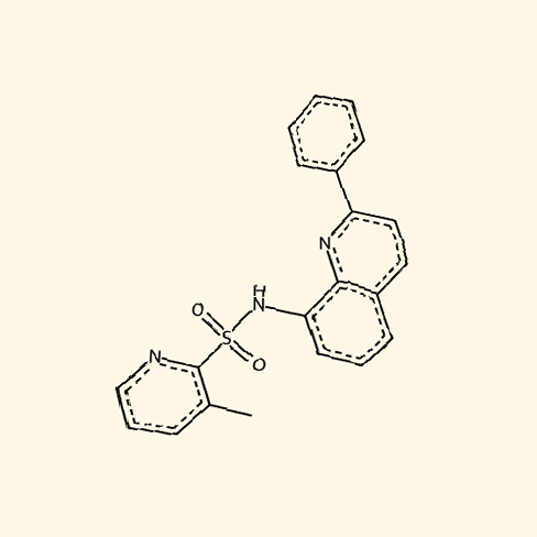 Cc1cccnc1S(=O)(=O)Nc1cccc2ccc(-c3ccccc3)nc12